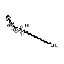 CCCCCCCCCCCCCCCCCCNC(=O)OCC(CNS(=O)(=O)CCc1nccs1)OC.I